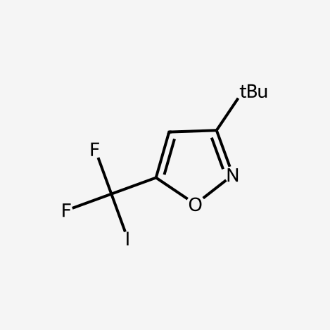 CC(C)(C)c1cc(C(F)(F)I)on1